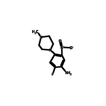 CN1CCN(c2cc(F)c(N)cc2[N+](=O)[O-])CC1